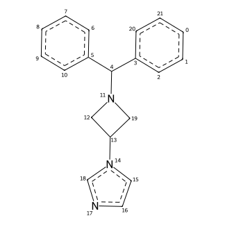 c1ccc(C(c2ccccc2)N2CC(n3ccnc3)C2)cc1